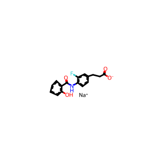 O=C([O-])CCc1ccc(NC(=O)c2ccccc2O)c(F)c1.[Na+]